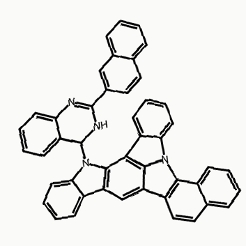 c1ccc2c(c1)N=C(c1ccc3ccccc3c1)NC2n1c2ccccc2c2cc3c4ccc5ccccc5c4n4c5ccccc5c(c21)c34